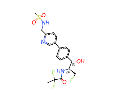 CC(F)(F)C(=O)N[C@H](CF)[C@@H](O)c1ccc(-c2ccc(CNS(C)(=O)=O)nc2)cc1